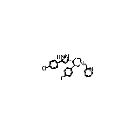 Fc1ccc([C@@H]2CN(Cc3ccccn3)CC[C@H]2c2cc(-c3ccc(Cl)cc3)[nH]n2)cc1